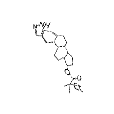 CCC(C)(C)C(=O)OC1CCC2C1CCC1C3Cc4cn[nH]c4C=C3CCC12